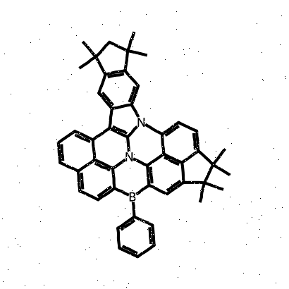 CC1(C)CC(C)(C)c2cc3c(cc21)c1c2cccc4ccc5c(c42)n2c4c(cc6c7c(ccc(c74)n3c12)C(C)(C)C6(C)C)B5c1ccccc1